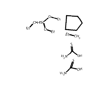 C1CCCCC1.CCC.CCO[SiH](OCC)OCC.NC(O)=S.NC(O)=S